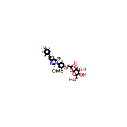 COc1cc(-n2cnc3cc(-c4ccc(Cl)cc4)sc3c2=O)ccc1OCC(C)O[C@H]1O[C@H](CO)[C@@H](O)[C@H](O)[C@H]1O